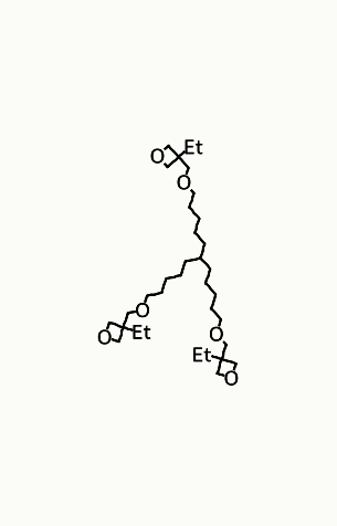 CCC1(COCCCCCC(CCCCCOCC2(CC)COC2)CCCCCOCC2(CC)COC2)COC1